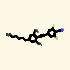 CCCCCCc1cc(C)c(C#Cc2cc(F)c(C#N)c(F)c2)c(C)c1